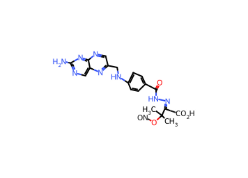 CC(C)(ON=O)C(=NNC(=O)c1ccc(NCc2cnc3nc(N)ncc3n2)cc1)C(=O)O